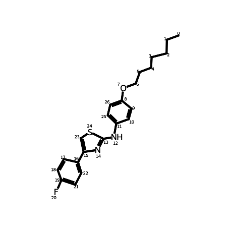 CCCCCCCOc1ccc(Nc2nc(-c3ccc(F)cc3)cs2)cc1